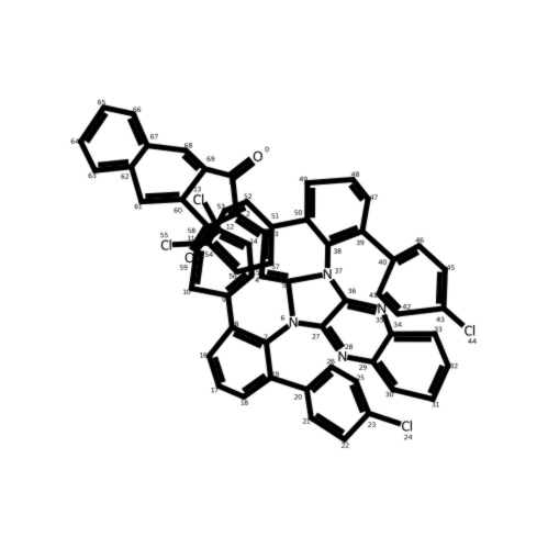 O=C1C(=CC=C2N(c3c(-c4ccc(Cl)cc4)cccc3-c3ccc(Cl)cc3)c3nc4ccccc4nc3N2c2c(-c3ccc(Cl)cc3)cccc2-c2ccc(Cl)cc2)C(=O)c2cc3ccccc3cc21